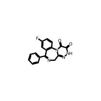 O=c1[nH]nc2n(c1=O)-c1ccc(F)cc1C(c1ccccc1)=NC2